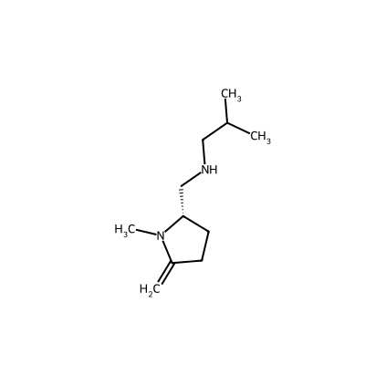 C=C1CC[C@@H](CNCC(C)C)N1C